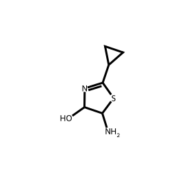 NC1SC(C2CC2)=NC1O